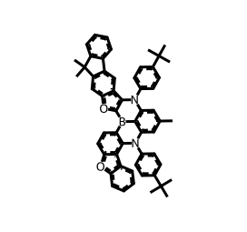 Cc1cc2c3c(c1)N(c1ccc(C(C)(C)C)cc1)c1c(ccc4oc5ccccc5c14)B3c1oc3cc4c(cc3c1N2c1ccc(C(C)(C)C)cc1)-c1ccccc1C4(C)C